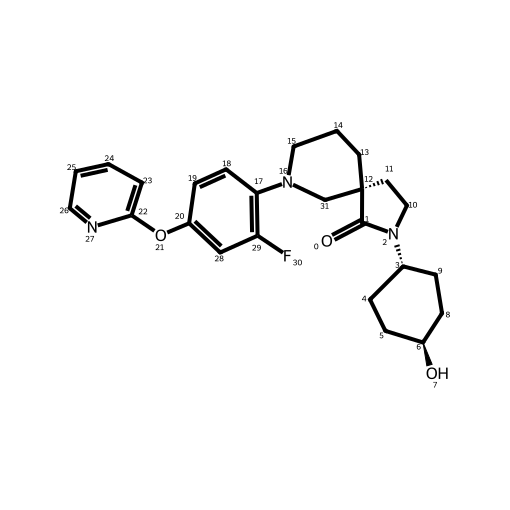 O=C1N([C@H]2CC[C@H](O)CC2)CC[C@]12CCCN(c1ccc(Oc3ccccn3)cc1F)C2